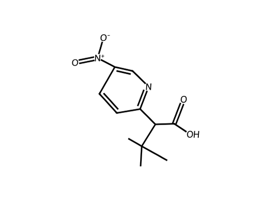 CC(C)(C)C(C(=O)O)c1ccc([N+](=O)[O-])cn1